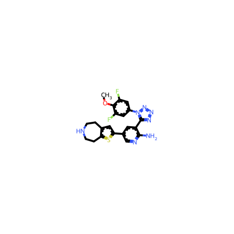 COc1c(F)cc(-n2nnnc2-c2cc(-c3cc4c(s3)CCNCC4)cnc2N)cc1F